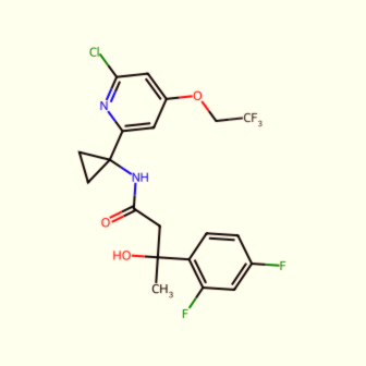 CC(O)(CC(=O)NC1(c2cc(OCC(F)(F)F)cc(Cl)n2)CC1)c1ccc(F)cc1F